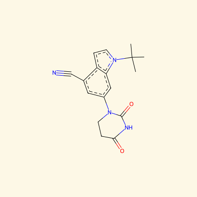 CC(C)(C)n1ccc2c(C#N)cc(N3CCC(=O)NC3=O)cc21